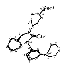 CCCC(C)N1CCC(N(Cc2ccccc2)C(=O)Nc2cccc(N3CCOCC3)c2)CC1